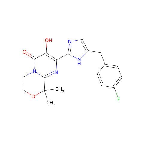 CC1(C)OCCn2c1nc(-c1ncc(Cc3ccc(F)cc3)[nH]1)c(O)c2=O